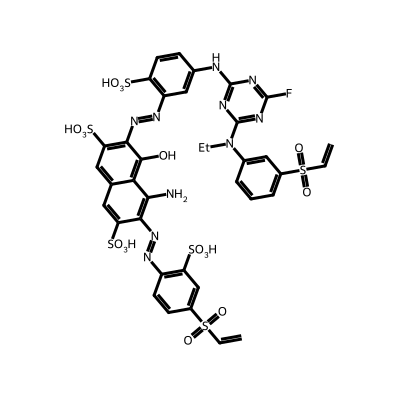 C=CS(=O)(=O)c1cccc(N(CC)c2nc(F)nc(Nc3ccc(S(=O)(=O)O)c(/N=N/c4c(S(=O)(=O)O)cc5cc(S(=O)(=O)O)c(/N=N/c6ccc(S(=O)(=O)C=C)cc6S(=O)(=O)O)c(N)c5c4O)c3)n2)c1